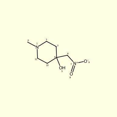 CN1CCC(O)(C[N+](=O)[O-])CC1